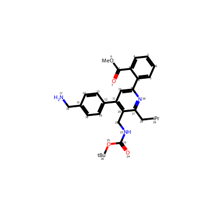 COC(=O)c1ccccc1-c1cc(-c2ccc(CN)cc2)c(CNC(=O)OC(C)(C)C)c(CC(C)C)n1